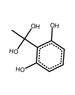 CC(O)(O)c1c(O)cccc1O